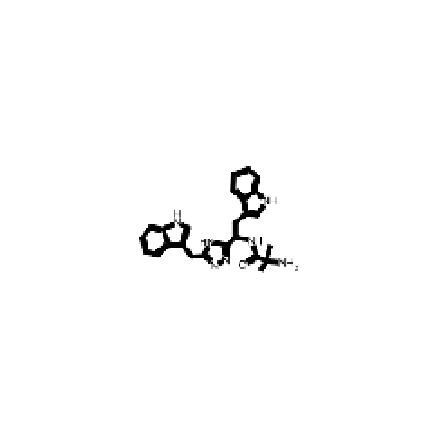 CC(C)(N)C(=O)NC(Cc1c[nH]c2ccccc12)c1nnc(Cc2c[nH]c3ccccc23)[nH]1